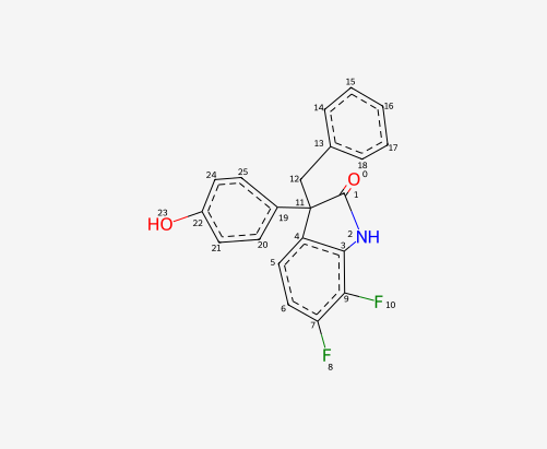 O=C1Nc2c(ccc(F)c2F)C1(Cc1ccccc1)c1ccc(O)cc1